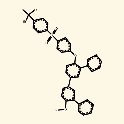 CCC(C)(CC)c1ccc(S(=O)(=O)c2ccc(Oc3ccc(-c4ccc(OC(C)(C)C)c(-c5ccccc5)c4)cc3-c3ccccc3)cc2)cc1